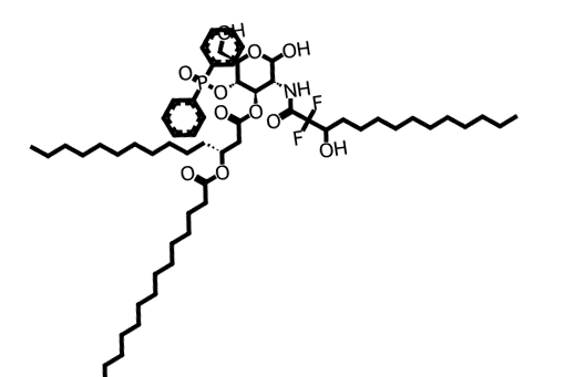 CCCCCCCCCCCCCC(=O)O[C@H](CCCCCCCCCCC)CC(=O)O[C@H]1[C@H](OP(=O)(c2ccccc2)c2ccccc2)[C@@H](CO)OC(O)[C@@H]1NC(=O)C(F)(F)C(O)CCCCCCCCCCC